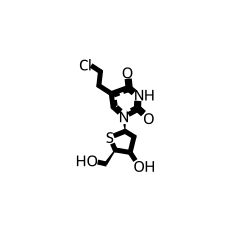 O=c1[nH]c(=O)n([C@@H]2CC(O)[C@@H](CO)S2)cc1CCCl